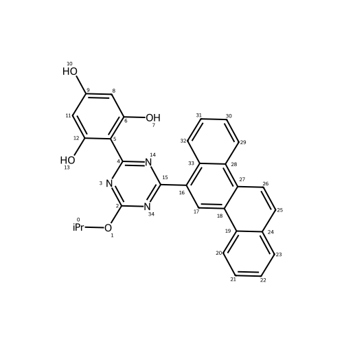 CC(C)Oc1nc(-c2c(O)cc(O)cc2O)nc(-c2cc3c4ccccc4ccc3c3ccccc23)n1